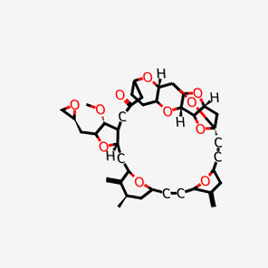 C=C1CC2CC[C@@]34C[C@H]5OC6C(O3)[C@H]3OC(CCC3O[C@H]6C5O4)CC(=O)CC3[C@@H](OC)C(C[C@H]4CO4)O[C@H]3CC3OC(CCC1O2)C[C@@H](C)C3=C